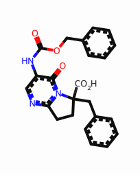 O=C(Nc1cnc2n(c1=O)C(Cc1ccccc1)(C(=O)O)CC2)OCc1ccccc1